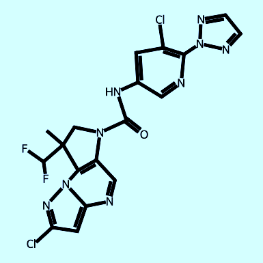 CC1(C(F)F)CN(C(=O)Nc2cnc(-n3nccn3)c(Cl)c2)c2cnc3cc(Cl)nn3c21